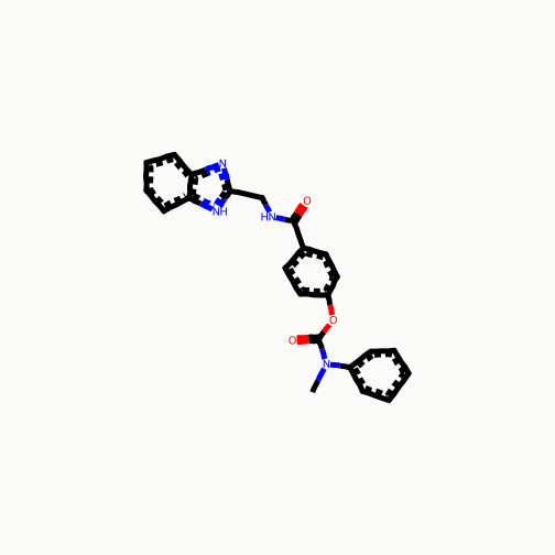 CN(C(=O)Oc1ccc(C(=O)NCc2nc3ccccc3[nH]2)cc1)c1ccccc1